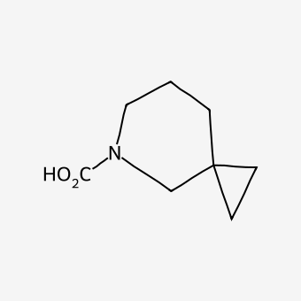 O=C(O)N1CCCC2(CC2)C1